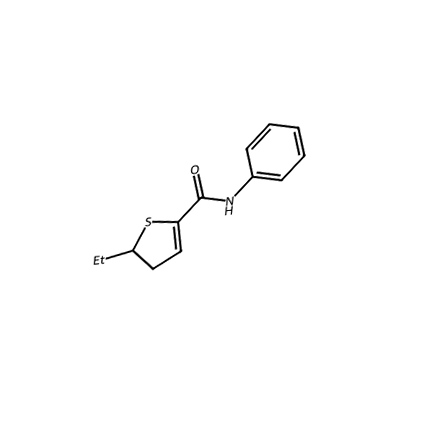 CCC1CC=C(C(=O)Nc2ccccc2)S1